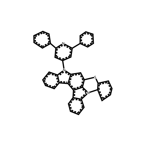 c1ccc(-c2cc(-n3c4ccccc4c4c5c6ccccc6n6c5c(cc43)Sc3ccccc3-6)cc(-c3ccccc3)n2)cc1